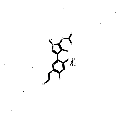 Cn1nc(-c2cc(/C=C/O)c(Cl)cc2F)c(Cl)c1OC(F)F.O=CO